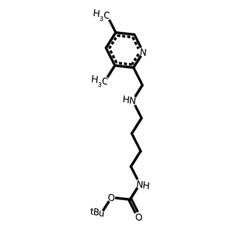 Cc1cnc(CNCCCCNC(=O)OC(C)(C)C)c(C)c1